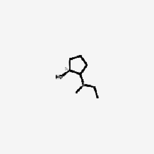 CCN(C)C1CCC[C@@H]1O